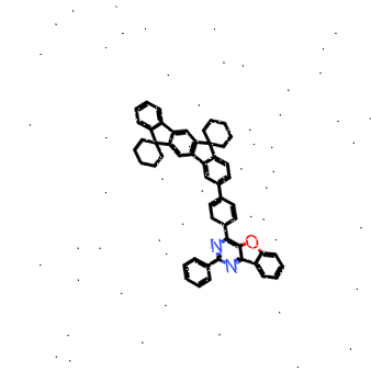 C1=CC(c2nc(-c3ccccc3)nc3c2oc2ccccc23)CC=C1c1ccc2c(c1)-c1cc3c(cc1C21CCCCC1)-c1ccccc1C31CCCCC1